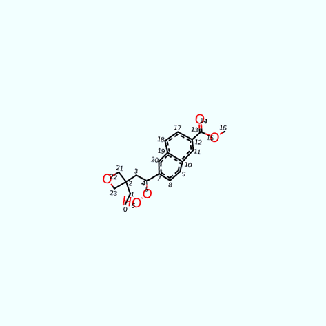 CCC1(CC(OO)c2ccc3cc(C(=O)OC)ccc3c2)COC1